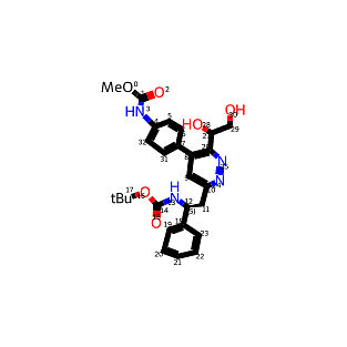 COC(=O)Nc1ccc(-c2cc(C[C@H](NC(=O)OC(C)(C)C)c3ccccc3)nnc2C(O)CO)cc1